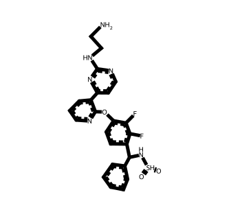 NCCNc1nccc(-c2cccnc2Oc2ccc(C(N[SH](=O)=O)c3ccccc3)c(F)c2F)n1